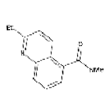 CCc1ccc2c(C(=O)NC)cccc2n1